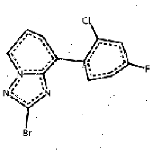 Fc1ccc(-c2cccn3nc(Br)nc23)c(Cl)c1